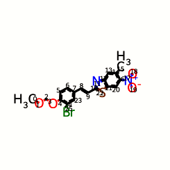 COCOc1ccc(C=Cc2nc3cc(C)c([N+](=O)[O-])cc3s2)cc1Br